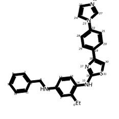 CCc1cc(NCc2ccccc2)ccc1Nc1nc(-c2ccc(-n3ccnc3)cc2)cs1